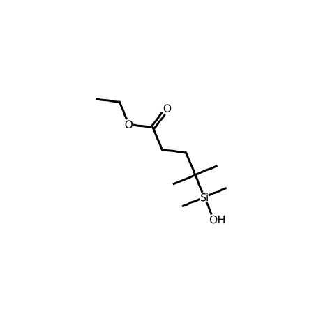 CCOC(=O)CCC(C)(C)[Si](C)(C)O